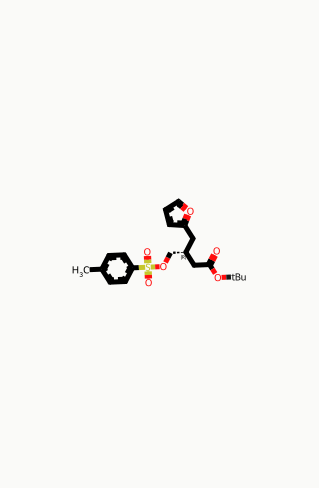 Cc1ccc(S(=O)(=O)OC[C@@H](CC(=O)OC(C)(C)C)Cc2ccco2)cc1